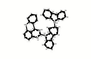 c1ccc2c(c1)Sc1cccc3nc(-n4c5ccccc5c5ccc(-n6c7ccccc7c7ccccc76)cc54)nc-2c13